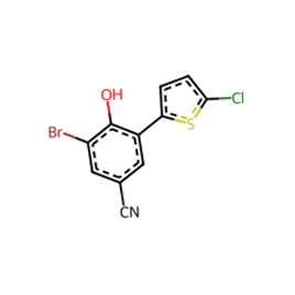 N#Cc1cc(Br)c(O)c(-c2ccc(Cl)s2)c1